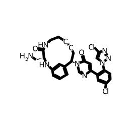 NC[C@H]1Nc2cccc(c2)[C@@H](n2cnc(-c3cc(Cl)ccc3-n3cc(Cl)nn3)cc2=O)CCCCCNC1=O